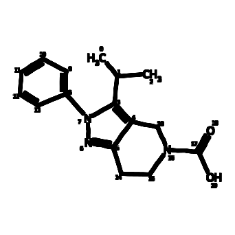 CC(C)c1c2c(nn1-c1ccccc1)CCN(C(=O)O)C2